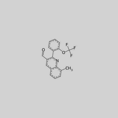 Cc1cccc2cc(C=O)c(-c3ccccc3OC(F)(F)F)nc12